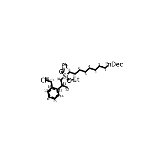 CCCCCCCCCCCCCCCCCC[Si](CC(C)c1ccccc1CCl)(OCC)OCC